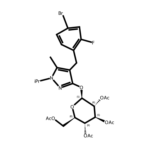 CC(=O)OC[C@H]1O[C@@H](Oc2nn(C(C)C)c(C)c2Cc2ccc(Br)cc2F)[C@H](OC(C)=O)[C@@H](OC(C)=O)[C@@H]1OC(C)=O